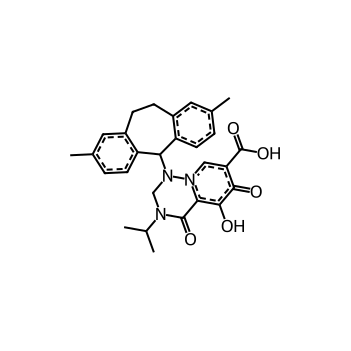 Cc1ccc2c(c1)CCc1cc(C)ccc1C2N1CN(C(C)C)C(=O)c2c(O)c(=O)c(C(=O)O)cn21